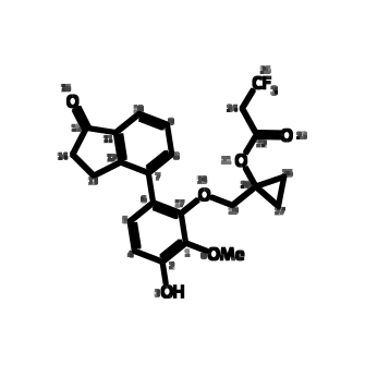 COc1c(O)ccc(-c2cccc3c2CCC3=O)c1OCC1(OC(=O)CC(F)(F)F)CC1